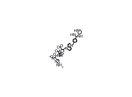 CO/N=C(\C(=O)N[C@@H]1C(=O)N2C(C(=O)[O-])=C(C[n+]3cccc4c3ccn4Cc3ccc(C(=N)NC4CCCNC4)cc3)CS[C@H]12)c1csc(N)n1